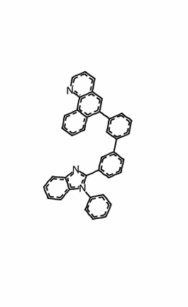 c1ccc(-n2c(-c3cccc(-c4cccc(-c5cc6cccnc6c6ccccc56)c4)c3)nc3ccccc32)cc1